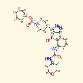 O=C(Nc1cccc2c1C(=O)C1=C(C3CCN(C(=O)Oc4ccccc4)CC3)N=NC12)NN1CCOCC1